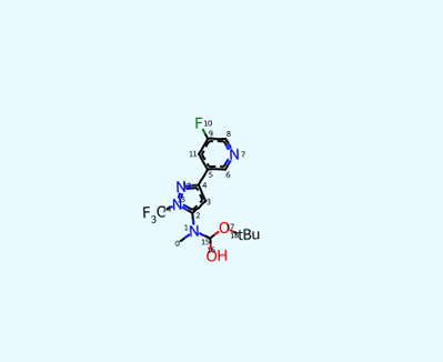 CN(c1cc(-c2cncc(F)c2)nn1C(F)(F)F)C(O)OC(C)(C)C